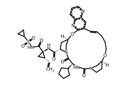 C=C[C@@H]1C[C@]1(NC(=O)[C@@H]1C[C@@H]2CN1C(=O)[C@H](C1CCCC1)NC(=O)N1CC[C@@H](C1)OCCC/C=C/c1cc3ncccc3nc1O2)C(=O)NS(=O)(=O)C1CC1